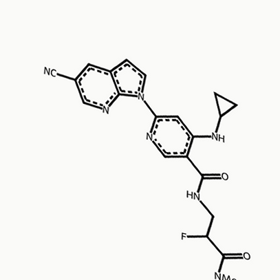 CNC(=O)C(F)CNC(=O)c1cnc(-n2ccc3cc(C#N)cnc32)cc1NC1CC1